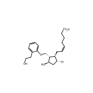 O=C(O)CCC/C=C\C[C@@H]1[C@@H](COc2ccccc2CCO)[C@H](O)C[C@H]1Cl